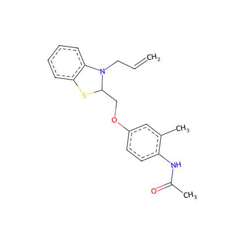 C=CCN1c2ccccc2SC1COc1ccc(NC(C)=O)c(C)c1